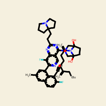 C#Cc1c(F)ccc2cc(C)cc(-c3ncc4c(N5CC6(O)CCC(O)(C5)N6C(=C)CCCC(=C)CC(C)(C)C)nc(CCC56CCCN5CCC6)nc4c3F)c12